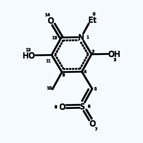 CCn1c(O)c(C=S(=O)=O)c(C)c(O)c1=O